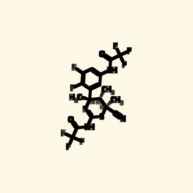 C[C@@H]1[C@@](C)(C#N)SC(NC(=O)C(F)(F)F)=N[C@]1(C)c1cc(NC(=O)C(F)(F)F)cc(F)c1F